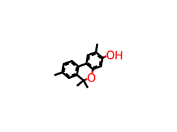 Cc1ccc2c(c1)C(C)(C)Oc1cc(O)c(C)cc1-2